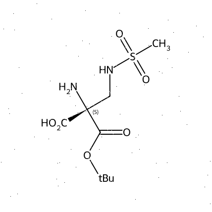 CC(C)(C)OC(=O)[C@](N)(CNS(C)(=O)=O)C(=O)O